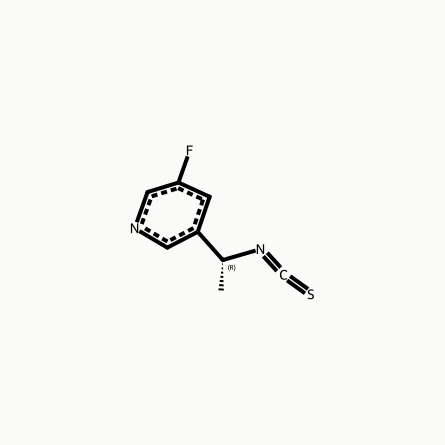 C[C@@H](N=C=S)c1cncc(F)c1